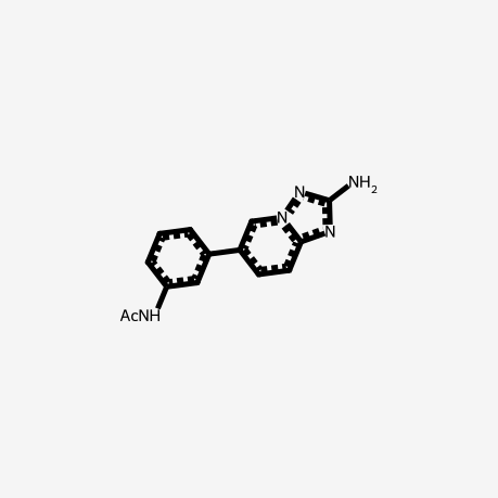 CC(=O)Nc1cccc(-c2ccc3nc(N)nn3c2)c1